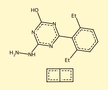 CCc1cccc(CC)c1-c1nc(O)nc(NN)n1.c1cc2ccc1-2